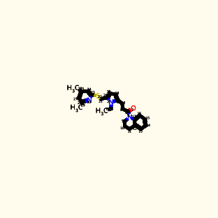 CCn1c(CCC(=O)N2CCCc3ccccc32)ccc1CSc1cc(C)cc(C)n1